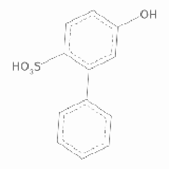 O=S(=O)(O)c1ccc(O)cc1-c1ccccc1